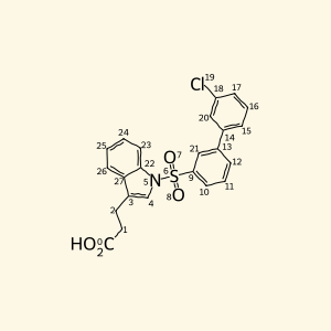 O=C(O)CCc1cn(S(=O)(=O)c2cccc(-c3cccc(Cl)c3)c2)c2ccccc12